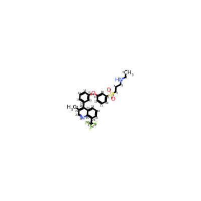 CCNCCCS(=O)(=O)c1cccc(Oc2cccc(-c3c(C)cnc4c(C(F)(F)F)cccc34)c2)c1